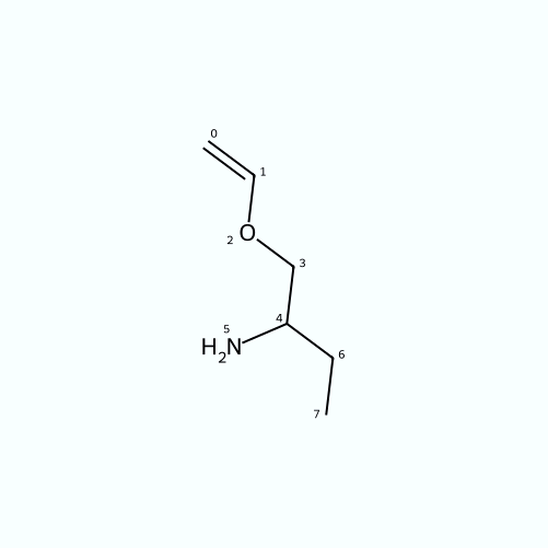 C=COCC(N)CC